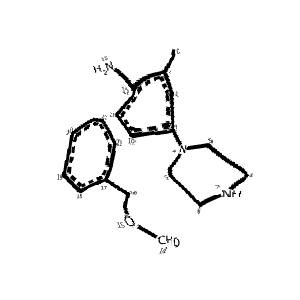 Cc1cc(N2CCNCC2)ccc1N.O=COCc1ccccc1